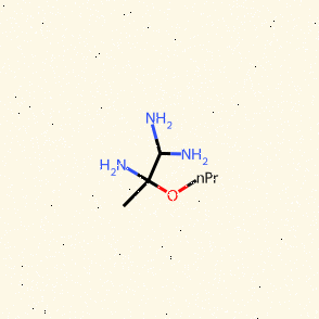 CCCOC(C)(N)C(N)N